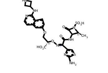 C[C@H]1C(NC(=O)/C(=N\O[C@@H](COc2ccc3c(NC4CNC4)nccc3c2)C(=O)O)c2csc(N)n2)C(=O)N1S(=O)(=O)O